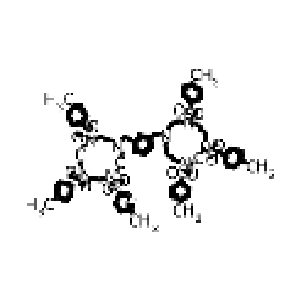 Cc1ccc(S(=O)(=O)N2CCCN(S(=O)(=O)c3ccc(C)cc3)CCN(S(=O)(=O)c3ccc(C)cc3)CCCN(Cc3cccc(CN4CCCN(S(=O)(=O)c5ccc(C)cc5)CCN(S(=O)(=O)c5ccc(C)cc5)CCCN(S(=O)(=O)c5ccc(C)cc5)CC4)c3)CC2)cc1